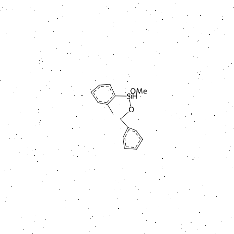 CO[SiH](OCc1ccccc1)c1ccccc1C